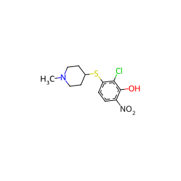 CN1CCC(Sc2ccc([N+](=O)[O-])c(O)c2Cl)CC1